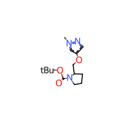 Cn1cc(OCC2CCCN2C(=O)OC(C)(C)C)cn1